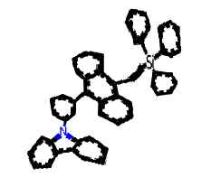 C(#C[Si](c1ccccc1)(c1ccccc1)c1ccccc1)c1c2ccccc2c(-c2cccc(-n3c4ccccc4c4ccccc43)c2)c2ccccc12